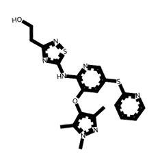 Cc1nn(C)c(C)c1Oc1cc(Sc2ccccn2)cnc1Nc1nc(CCO)ns1